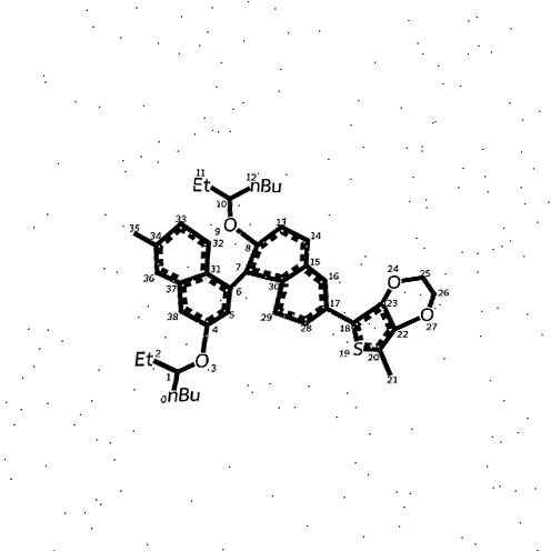 CCCCC(CC)Oc1cc(-c2c(OC(CC)CCCC)ccc3cc(-c4sc(C)c5c4OCCO5)ccc23)c2ccc(C)cc2c1